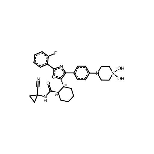 N#CC1(NC(=O)[C@@H]2CCCC[C@H]2c2oc(-c3ccccc3F)nc2-c2ccc(N3CCS(O)(O)CC3)cc2)CC1